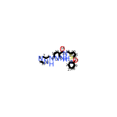 Nc1nc(NCc2cnccn2)ccc1C(=O)NCc1ccc(Oc2ccccc2)s1